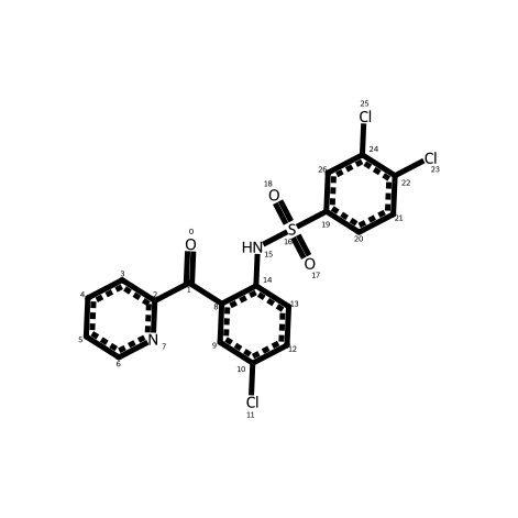 O=C(c1ccccn1)c1cc(Cl)ccc1NS(=O)(=O)c1ccc(Cl)c(Cl)c1